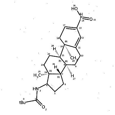 CC(C)(C)C(=O)NC1CC[C@H]2[C@@H]3CCC4=CC([PH](=O)O)=CC[C@]4(C)[C@@H]3CC[C@]12C